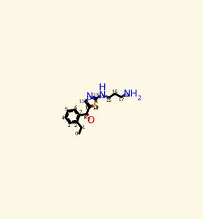 CCc1ccccc1C(=O)c1cnc(NCCCN)s1